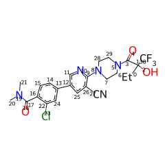 CCC(O)(C(=O)N1CCN(c2ncc(-c3ccc(C(=O)N(C)C)c(Cl)c3)cc2C#N)CC1)C(F)(F)F